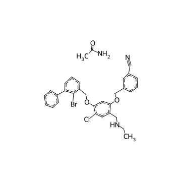 CC(N)=O.CCNCc1cc(Cl)c(OCc2cccc(-c3ccccc3)c2Br)cc1OCc1cccc(C#N)c1